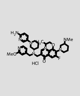 CNC1CCCN(c2c(F)cc3c(=O)c(CN(Cc4ccnc(OC)c4)[C@H]4CCCN(c5ccc(N)nc5)C4)cn4c3c2OCC4C)C1.Cl